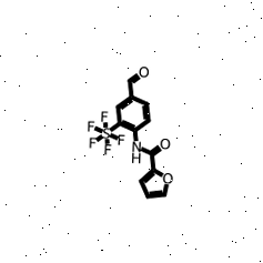 O=Cc1ccc(NC(=O)c2ccco2)c(S(F)(F)(F)(F)F)c1